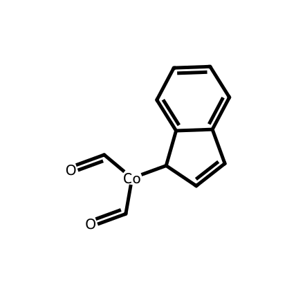 O=[CH][Co]([CH]=O)[CH]1C=Cc2ccccc21